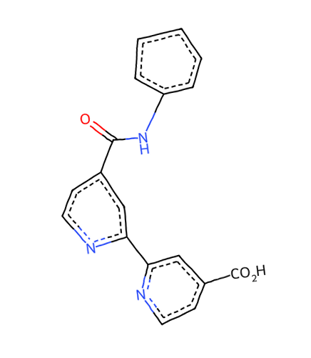 O=C(O)c1ccnc(-c2cc(C(=O)Nc3ccccc3)ccn2)c1